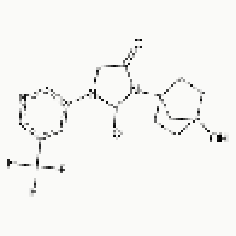 O=C1CN(c2cncc(C(F)(F)F)c2)C(=O)N1C12CCC(O)(CC1)C2